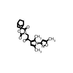 Cc1cc(-n2c(C)cc(C(=O)CN3C(=O)OC4(CC5CCC4C5)C3=O)c2C)no1